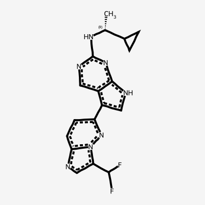 C[C@@H](Nc1ncc2c(-c3ccc4ncc(C(F)F)n4n3)c[nH]c2n1)C1CC1